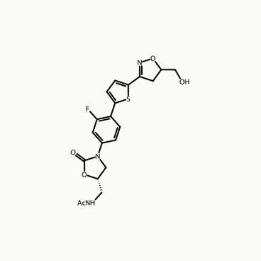 CC(=O)NC[C@H]1CN(c2ccc(-c3ccc(C4=NOC(CO)C4)s3)c(F)c2)C(=O)O1